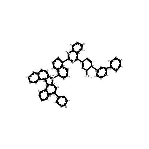 CC1C=C(c2nc(-c3cccc4c(-n5c6ccc7ccccc7c6c6c7ccccc7c(-c7ccccc7)cc65)cccc34)nc3ccccc23)C=CC1c1cccc(-c2ccccc2)c1